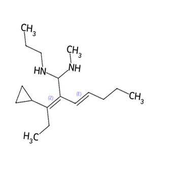 CCC/C=C/C(=C(\CC)C1CC1)C(NC)NCCC